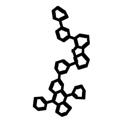 c1ccc(-c2cccc(-c3cccc4c3oc3c(-c5cccc(-c6ccc7c(-c8ccccc8)c8ccccc8c(-c8ccccc8)c7c6)c5)cccc34)c2)cc1